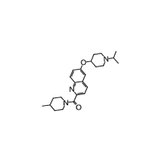 CC1CCN(C(=O)c2ccc3cc(OC4CCN(C(C)C)CC4)ccc3n2)CC1